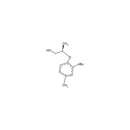 CCCCc1cc(C)ccc1O[C@H](C)CO